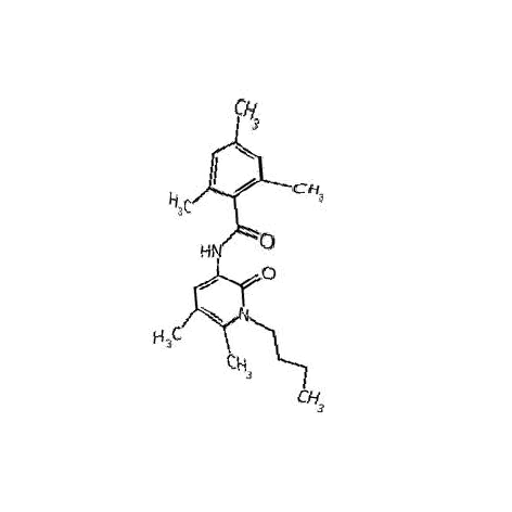 CCCCn1c(C)c(C)cc(NC(=O)c2c(C)cc(C)cc2C)c1=O